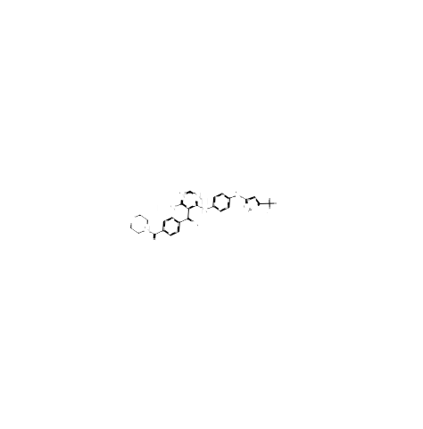 CC(C)(C)c1cc(Nc2ccc(Nc3ncnc(N)c3C(=N)c3ccc(C(=O)N4CCOCC4)cc3)cc2)no1